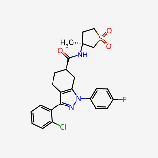 C[C@]1(NC(=O)[C@@H]2CCc3c(-c4ccccc4Cl)nn(-c4ccc(F)cc4)c3C2)CCS(=O)(=O)C1